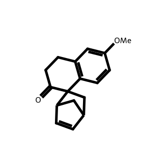 COc1ccc2c(c1)CCC(=O)C21CC2C=CC1C2